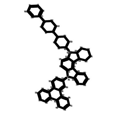 c1ccc(C2CCC(C3CCC(N4c5ccc6c(c5C5CCCCC54)c4ccccc4n6-c4ccc5c6ccccc6c6ccccc6c5c4)CC3)CC2)cc1